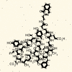 CC[C@H](C)[C@H](NC(=O)[C@H](CO)NC(=O)[C@H](Cc1ccc(O)cc1)NC(=O)[C@H](CC(=O)O)NC(=O)[C@H](CO)NC(=O)[C@@H](NC(=O)[C@H](Cc1ccccc1)NC(=O)[C@@H](NC(=O)CNC(=O)[C@H](CCC(=O)O)NC(=O)CSCC(=O)NCCn1ncc2ccccc2c1=O)[C@@H](C)O)[C@@H](C)O)C(=O)N[C@@H](Cc1ccc(O)cc1)C(=O)N[C@@H](CC(C)C)C(=O)N[C@@H](CC(=O)O)C(=O)N[C@H](C)CCCCN